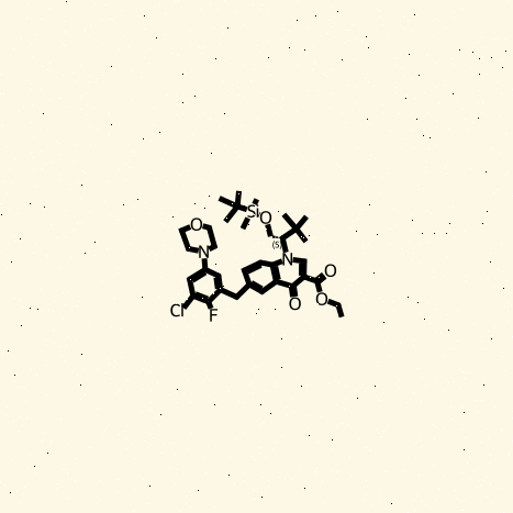 CCOC(=O)c1cn([C@H](CO[Si](C)(C)C(C)(C)C)C(C)(C)C)c2ccc(Cc3cc(N4CCOCC4)cc(Cl)c3F)cc2c1=O